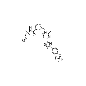 C=NN(Cc1cccc(C(=O)NC(C)(C)CN=O)c1)/C(C)=N\Cc1nc(-c2ccc(OC(C)(F)F)cc2)no1